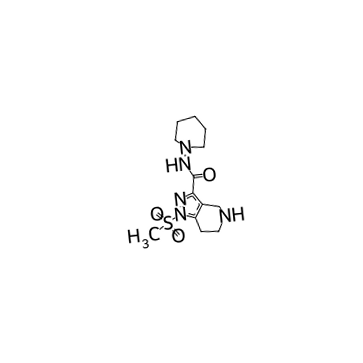 CS(=O)(=O)n1nc(C(=O)NN2CCCCC2)c2c1CCNC2